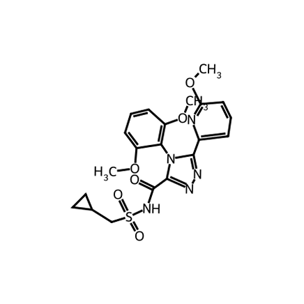 COc1cccc(-c2nnc(C(=O)NS(=O)(=O)CC3CC3)n2-c2c(OC)cccc2OC)n1